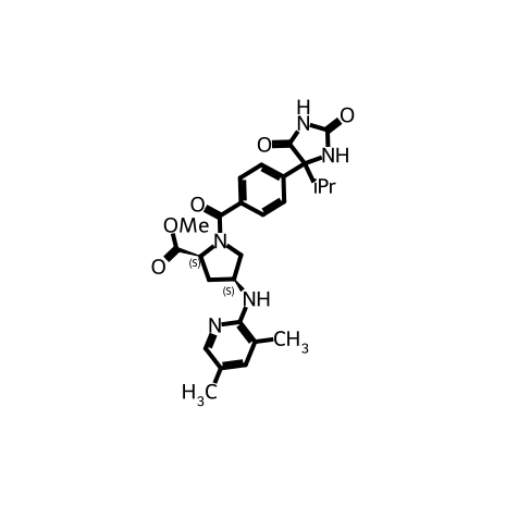 COC(=O)[C@@H]1C[C@H](Nc2ncc(C)cc2C)CN1C(=O)c1ccc(C2(C(C)C)NC(=O)NC2=O)cc1